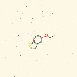 CCOc1[c]c2ccsc2cc1